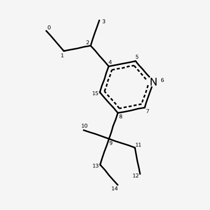 CCC(C)c1cncc(C(C)(CC)CC)c1